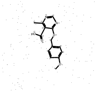 COc1ccc(COc2ncnc(C)c2C(=O)O)cc1